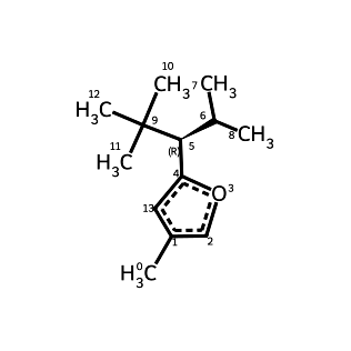 Cc1coc([C@H](C(C)C)C(C)(C)C)c1